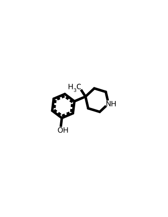 CC1(c2cccc(O)c2)CCNCC1